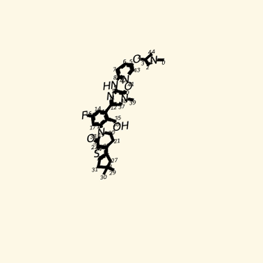 CN1CC(Oc2ccc(Nc3nc(-c4cc(F)cc(N5CCc6c(sc7c6CC(C)(C)C7)C5=O)c4CO)cn(C)c3=O)nc2)C1